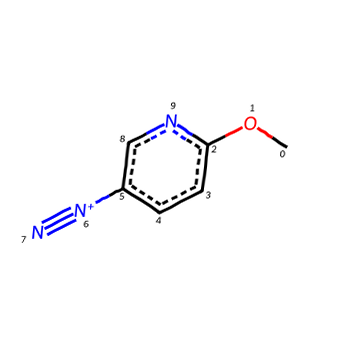 COc1ccc([N+]#N)cn1